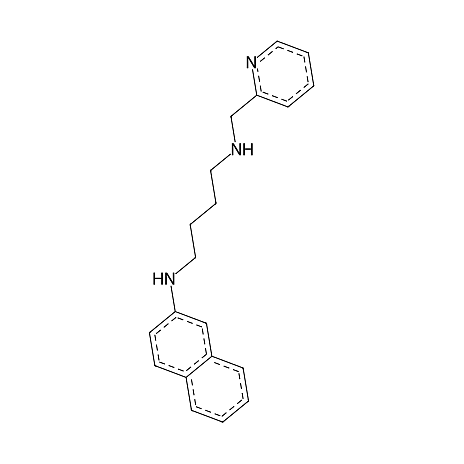 c1ccc(CNCCCCNc2ccc3ccccc3c2)nc1